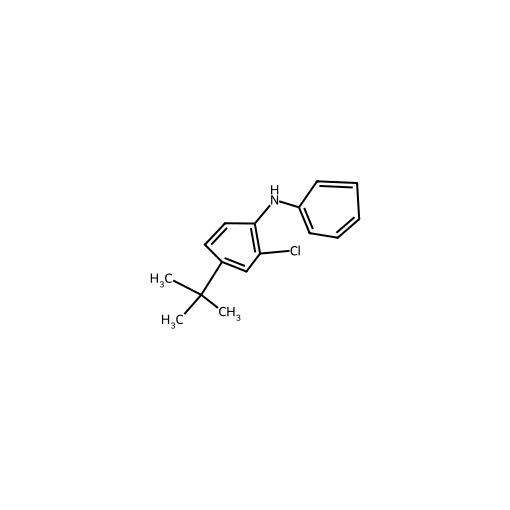 CC(C)(C)c1ccc(Nc2ccccc2)c(Cl)c1